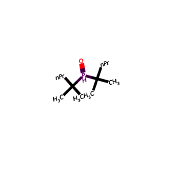 CCCC(C)(C)[PH](=O)C(C)(C)CCC